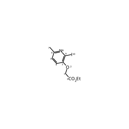 CCOC(=O)COc1ccc(C)nc1I